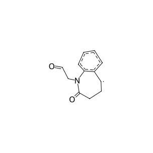 O=CCN1C(=O)CC[CH]c2ccccc21